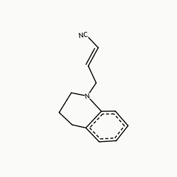 N#CC=CCN1CCCc2ccccc21